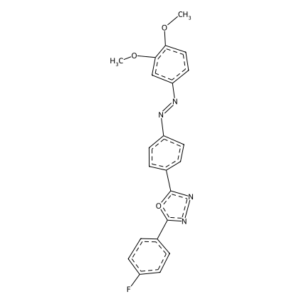 COc1ccc(N=Nc2ccc(-c3nnc(-c4ccc(F)cc4)o3)cc2)cc1OC